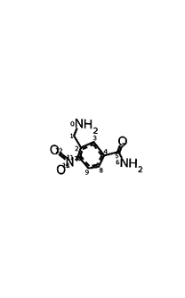 NCc1cc(C(N)=O)ccc1[N+](=O)[O-]